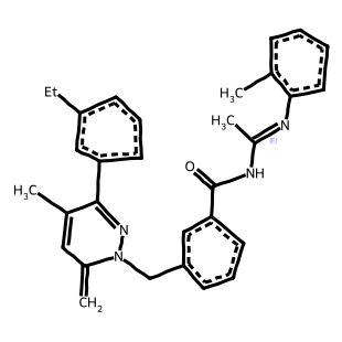 C=C1C=C(C)C(c2cccc(CC)c2)=NN1Cc1cccc(C(=O)N/C(C)=N/c2ccccc2C)c1